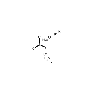 O.O.O.O.[K+].[K+].[K+].[O-]B([O-])[O-]